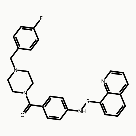 O=C(c1ccc(NSc2cccc3cccnc23)cc1)N1CCN(Cc2ccc(F)cc2)CC1